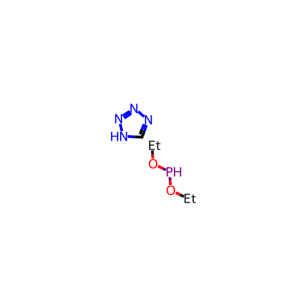 CCOPOCC.c1nnn[nH]1